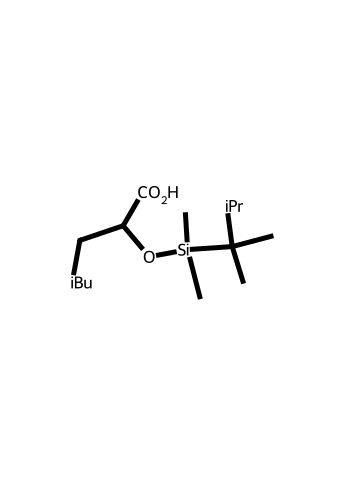 CCC(C)CC(O[Si](C)(C)C(C)(C)C(C)C)C(=O)O